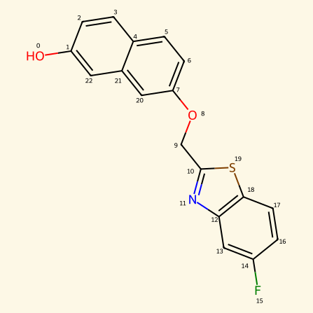 Oc1ccc2ccc(OCc3nc4cc(F)ccc4s3)cc2c1